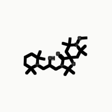 CON1C(C)(C)CC2(CC1(C)C)OC(C)(C)N(CC(O)CN1C(C)(C)CCCC1(C)C)C2=O